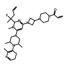 C=CCC(C)(F)C1N=C(N2CC(N3CCN(C(=O)C=C)CC3)C2)C=C(N2CC(C)N(C3=C(C)N=CCS3)C(C)C2)N1C